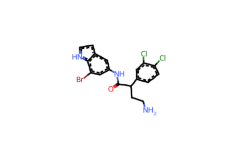 NCCC(C(=O)Nc1cc(Br)c2[nH]ccc2c1)c1ccc(Cl)c(Cl)c1